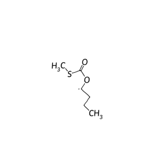 CCC[CH]OC(=O)SC